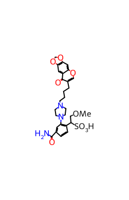 COCC(c1ccc(C(N)=O)cc1N1CCN(CCCCc2coc3cc4c(cc3c2=O)OCO4)CC1)S(=O)(=O)O